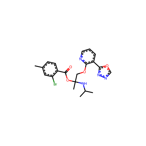 Cc1ccc(C(=O)OC(C)(COc2ncccc2-c2nnco2)NC(C)C)c(Br)c1